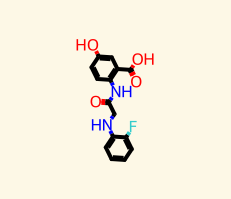 O=C(CNc1ccccc1F)Nc1ccc(O)cc1C(=O)O